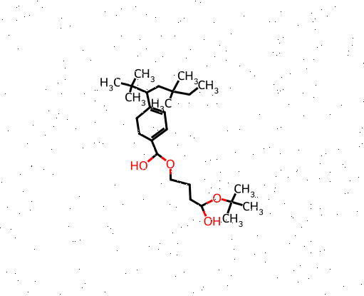 CCC(C)(C)CC(C1=CC=C(C(O)OCCCC(O)OC(C)(C)C)CC1)C(C)(C)C